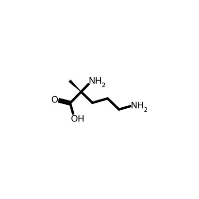 C[C@@](N)(CCCN)C(=O)O